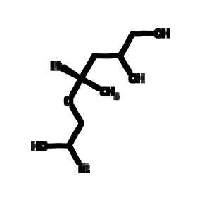 CCC(O)CO[C@](C)(CC)CC(O)CO